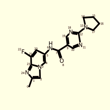 Cc1cn2cc(NC(=O)c3cnc(N4CCCC4)nc3)cc(F)c2n1